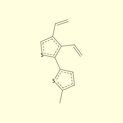 C=Cc1csc(-c2ccc(C)s2)c1C=C